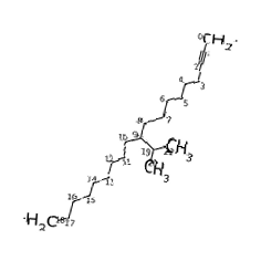 [CH2]C#CCCCCCCC(CCCCCCCC[CH2])C(C)C